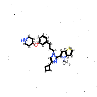 Cn1c(-c2nc(C3CCC3)cn2CCCc2cccc(OC3CCNCC3)c2)cc2sccc21